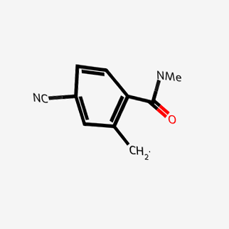 [CH2]c1cc(C#N)ccc1C(=O)NC